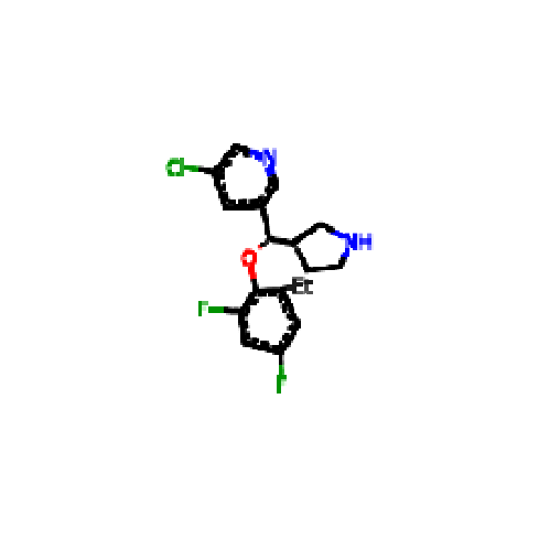 CCc1cc(F)cc(F)c1O[C@H](c1cncc(Cl)c1)[C@@H]1CCNC1